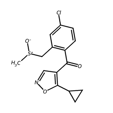 C[S+]([O-])Cc1cc(Cl)ccc1C(=O)c1cnoc1C1CC1